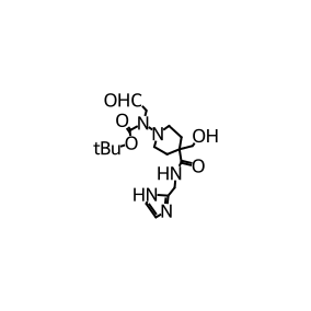 CC(C)(C)OC(=O)N(CC=O)N1CCC(CO)(C(=O)NCc2ncc[nH]2)CC1